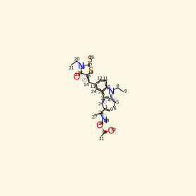 C=C(/C=c1\c(=C/C)n(CC)c2ccc(/C=C3\SC(=S)N(CC)C3=O)cc12)/C(C)=N/OC(C)=O